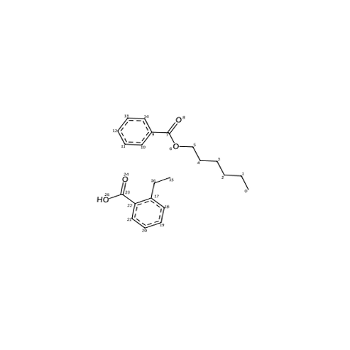 CCCCCCOC(=O)c1ccccc1.CCc1ccccc1C(=O)O